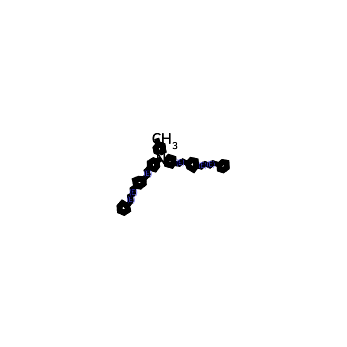 Cc1ccc(N(c2ccc(/C=C/c3ccc(/C=C/C=C/c4ccccc4)cc3)cc2)c2ccc(/C=C/c3ccc(/C=C/C=C/c4ccccc4)cc3)cc2)cc1